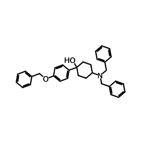 OC1(c2ccc(OCc3ccccc3)cc2)CCC(N(Cc2ccccc2)Cc2ccccc2)CC1